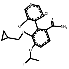 NC(=O)c1ccc(OC(F)F)c(OCC2CC2)c1-c1c(Cl)cncc1Cl